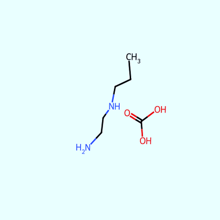 CCCNCCN.O=C(O)O